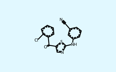 N#Cc1cccc(Nc2ncc(C(=O)c3ccccc3Cl)s2)c1